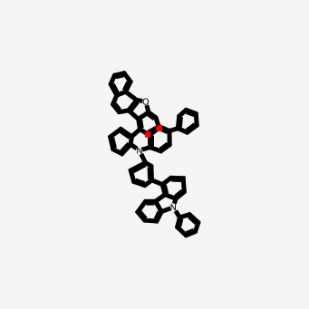 c1ccc(-c2ccc(N(c3cccc(-c4cccc5c4c4ccccc4n5-c4ccccc4)c3)c3ccccc3-c3cccc4oc5c6ccccc6ccc5c34)cc2)cc1